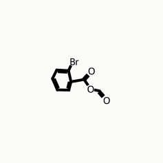 O=COC(=O)c1ccccc1Br